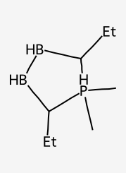 CCC1BBC(CC)[PH]1(C)C